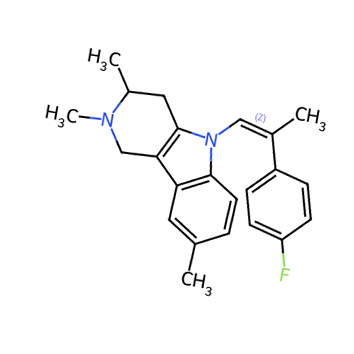 C/C(=C/n1c2c(c3cc(C)ccc31)CN(C)C(C)C2)c1ccc(F)cc1